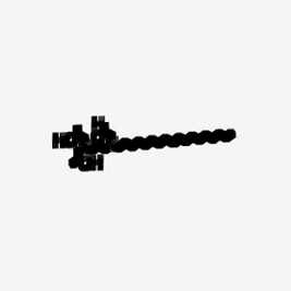 CCCCCCCCC=CCCCCCCCCN(CCCN(CC(C)O)CC(C)O)CC(C)O